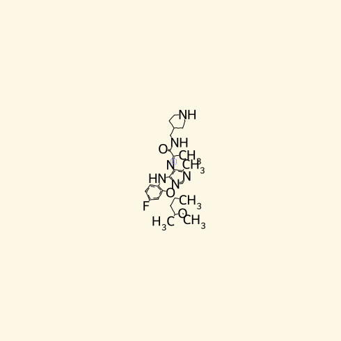 COC(C)CC(C)Oc1cc(F)ccc1Nc1ncnc(C)c1/N=C(\C)C(=O)NCC1CCNCC1